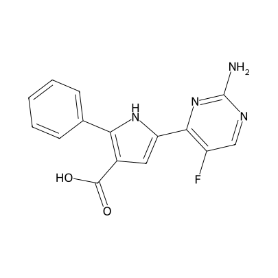 Nc1ncc(F)c(-c2cc(C(=O)O)c(-c3ccccc3)[nH]2)n1